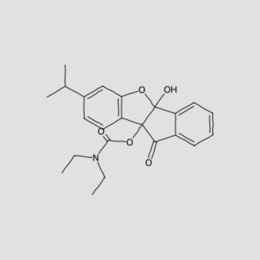 CCN(CC)C(=O)OC12C(=O)c3ccccc3C1(O)Oc1cc(C(C)C)ccc12